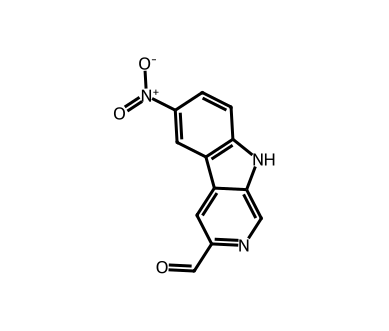 O=Cc1cc2c(cn1)[nH]c1ccc([N+](=O)[O-])cc12